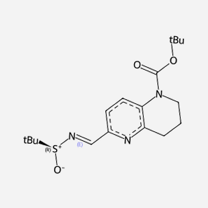 CC(C)(C)OC(=O)N1CCCc2nc(/C=N/[S@@+]([O-])C(C)(C)C)ccc21